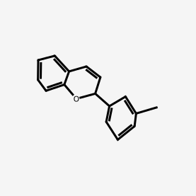 Cc1cccc(C2C=Cc3ccccc3O2)c1